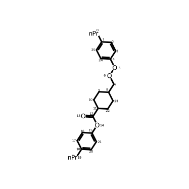 CCCc1ccc(OOCC2CCC(C(=O)Oc3ccc(CCC)cc3)CC2)cc1